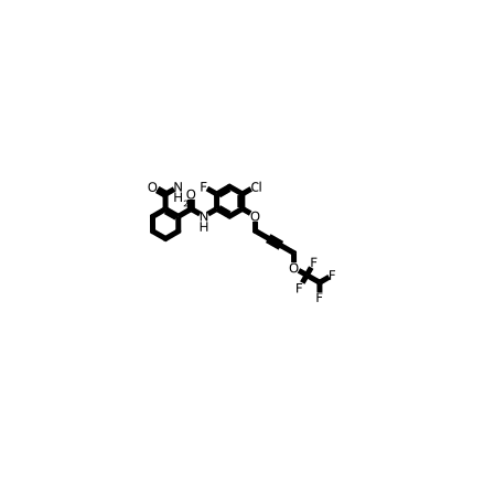 NC(=O)C1=C(C(=O)Nc2cc(OCC#CCOC(F)(F)C(F)F)c(Cl)cc2F)CCCC1